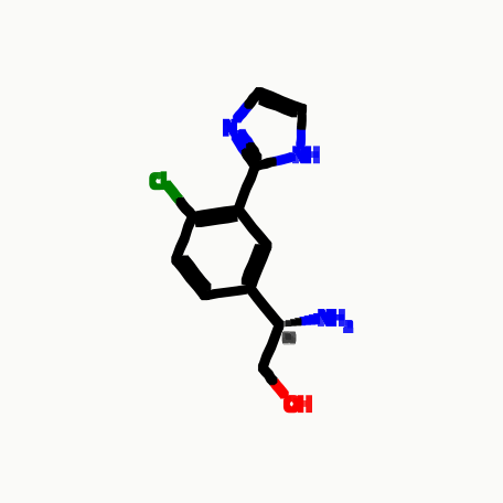 N[C@H](CO)c1ccc(Cl)c(-c2ncc[nH]2)c1